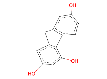 Oc1ccc2c(c1)Cc1cc(O)cc(O)c1-2